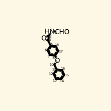 O=CNC1OC1c1ccc(OCc2ccccc2)cc1